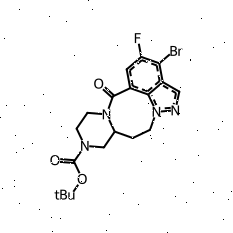 CC(C)(C)OC(=O)N1CCN2C(=O)c3cc(F)c(Br)c4cnn(c34)CCC2C1